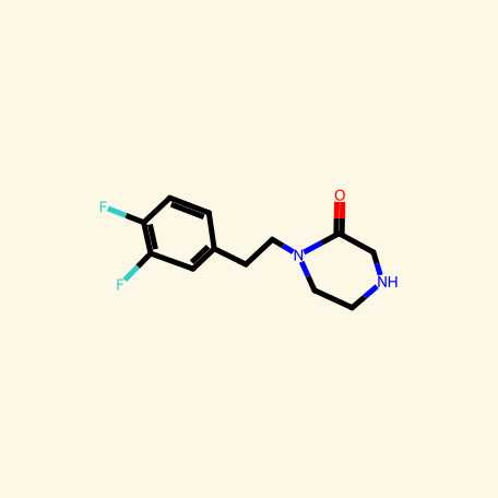 O=C1CNCCN1CCc1ccc(F)c(F)c1